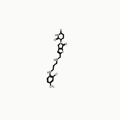 Cc1ccc(NCCCNCc2cc3c(s2)C(=O)N(C2CCC(=O)NC2=O)C3)c(Cl)c1